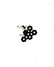 CCC(F)(F)OCCC1(C)c2ccccc2-c2ccc3c(c21)C(c1ccccc1)(c1ccccc1)c1ccccc1-3